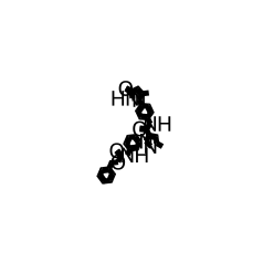 Cc1cc(C(=O)Nc2ccc(-n3[nH]c(=O)cc3C)cc2)n(-c2cccc(NC(=O)OCc3ccccc3)c2)n1